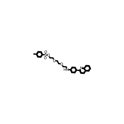 Cc1ccc(S(=O)(=O)OCCOCCOCCNc2ccc(-c3ccc4ccccc4n3)cc2)cc1